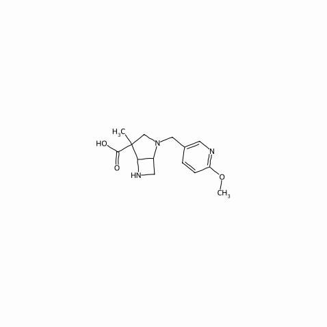 COc1ccc(CN2CC(C)(C(=O)O)C3NCC32)cn1